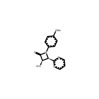 COc1ccc(N2C(=O)[C@H](OC(C)=O)[C@@H]2c2ncccn2)cc1